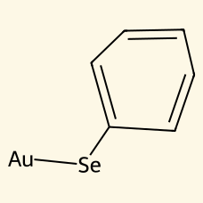 [Au][Se]c1ccccc1